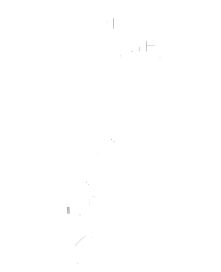 CC=CC(=O)OCCCCCCCCC[SiH2]C(I)I